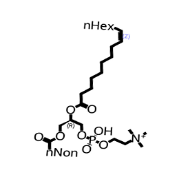 CCCCCC/C=C\CCCCCCCC(=O)O[C@H](COC(=O)CCCCCCCCC)COP(=O)(O)OCC[N+](C)(C)C